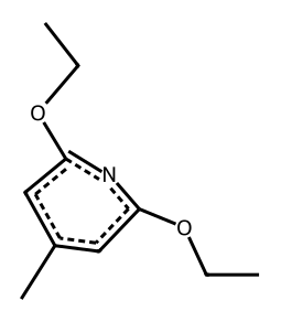 CCOc1cc(C)cc(OCC)n1